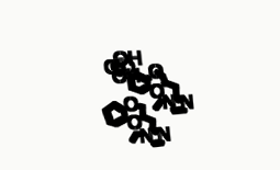 CCn1ccnc1CC1COc2ccccc2O1.CCn1ccnc1CC1COc2ccccc2O1.O=S(=O)(O)O